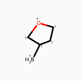 BC1CCOC1